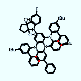 CC(C)(C)c1ccc(N2c3ccc(-c4ccccc4)cc3B3c4ccc(C(C)(C)C)cc4N(c4ccc(C(C)(C)C)cc4-c4ccccc4)c4cc(N5c6ccc(F)cc6C6(C)CCCC56C)cc2c43)c(-c2ccccc2)c1